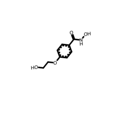 O=C(NO)c1ccc(OCCO)cc1